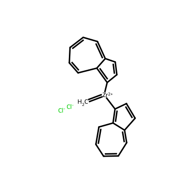 [CH2]=[Zr+2]([c]1ccc2cccccc1-2)[c]1ccc2cccccc1-2.[Cl-].[Cl-]